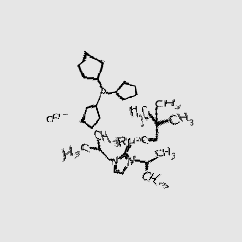 C1CCC(P(C2CCCC2)C2CCCC2)C1.CC(C)n1ccn(C(C)C)[c]1=[Ru+2]=[C]=CC(C)(C)C.[Cl-].[Cl-]